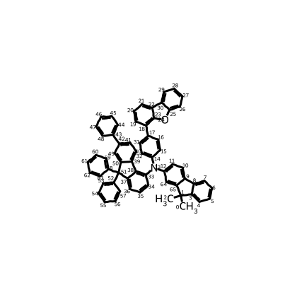 CC1(C)c2ccccc2-c2ccc(N(c3ccc(-c4cccc5c4oc4ccccc45)cc3)c3cccc4c3-c3ccc(-c5ccccc5)cc3C4(c3ccccc3)c3ccccc3)cc21